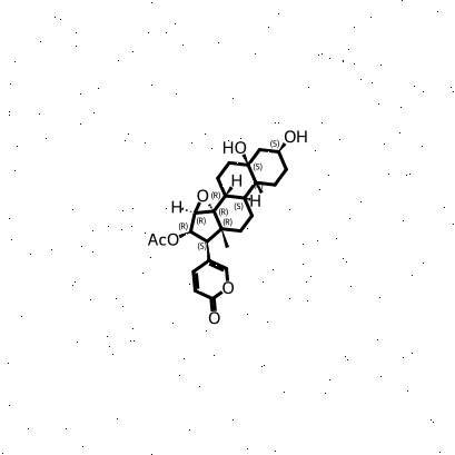 CC(=O)O[C@H]1[C@H]2O[C@@]23[C@@H]2CC[C@]4(O)C[C@@H](O)CC[C@]4(C)[C@H]2CC[C@]3(C)[C@H]1c1ccc(=O)oc1